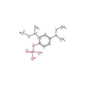 CCC(C)c1ccc(OP(=O)(O)O)c(C(C)CC)c1